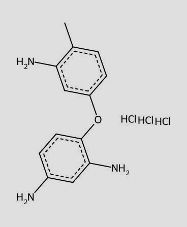 Cc1ccc(Oc2ccc(N)cc2N)cc1N.Cl.Cl.Cl